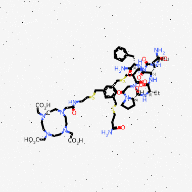 CCCCNC(=O)/N=C/C(CSCc1cc(CSCCNC(=O)CN2CCN(CC(=O)O)CCN(CC(=O)O)CCN(CC(=O)O)CC2)cc(CSCCC(N)=O)c1)C(=O)N(C)CC(=O)N1CCC[C@H]1C(=O)N[C@@H](CC)C(=O)N[C@@H](CCC(N)=O)C(=O)N[C@@H](Cc1ccccc1)C(N)=O